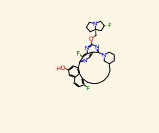 Oc1cc2c3c(c(F)ccc3c1)CCCCCCC1CCCN(C1)c1nc(OC[C@@]34CCCN3C[C@H](F)C4)nc3c(F)c-2ncc13